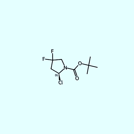 CC(C)(C)OC(=O)N1CC(F)(F)C[C@@H]1Cl